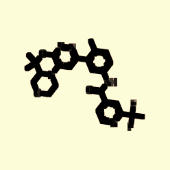 Cc1ccc(NC(=O)c2ccnc(C(C)(F)F)c2)cc1-c1cc2c(nn1)OC(C)(C)C1COCCN21